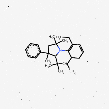 CCC1=C(N2C(C(C)(C)C)C(C)(c3ccccc3)CC2(C)C)C(CC)CC=C1